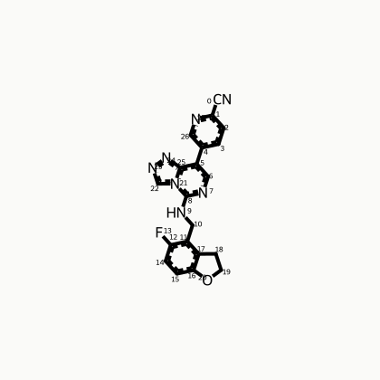 N#Cc1ccc(-c2cnc(NCc3c(F)ccc4c3CCO4)n3cnnc23)cn1